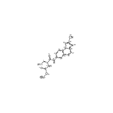 CC(C)C[C@H](NC(=O)OC(C)(C)C)C(=O)Nc1ccc2c(ccc3nc(C#N)sc32)c1